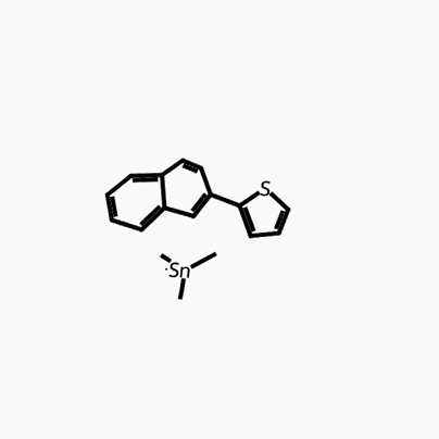 [CH3][Sn]([CH3])[CH3].c1csc(-c2ccc3ccccc3c2)c1